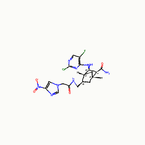 NC(=O)[C@H]1[C@@H]2C[C@@H](CNC(=O)Cn3cnc([N+](=O)[O-])c3)[C@@H](C2)[C@H]1Nc1nc(Cl)ncc1F